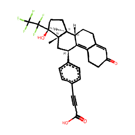 C[C@]12C[C@H](c3ccc(C#CC(=O)O)cc3)C3=C4CCC(=O)C=C4CC[C@H]3[C@@H]1CC[C@@]2(O)C(F)(F)C(F)(F)F